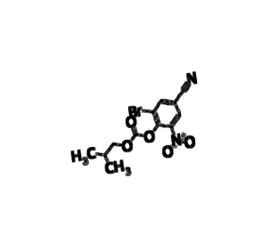 CC(C)COC(=O)Oc1c(Br)cc(C#N)cc1[N+](=O)[O-]